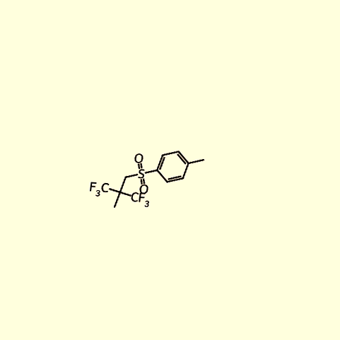 Cc1ccc(S(=O)(=O)CC(C)(C(F)(F)F)C(F)(F)F)cc1